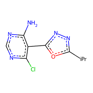 CC(C)c1nnc(-c2c(N)ncnc2Cl)o1